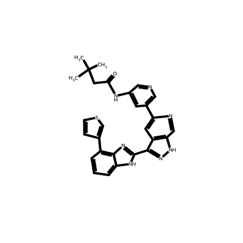 CC(C)(C)CC(=O)Nc1cncc(-c2cc3c(-c4nc5c(-c6ccsc6)cccc5[nH]4)n[nH]c3cn2)c1